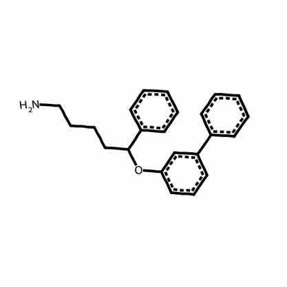 NCCCCC(Oc1cccc(-c2ccccc2)c1)c1ccccc1